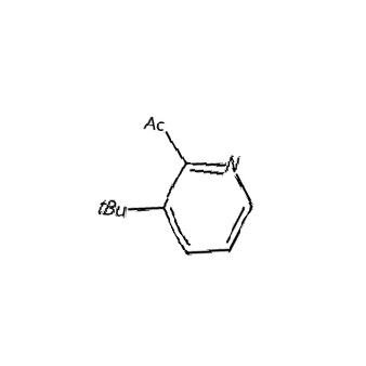 CC(=O)c1ncccc1C(C)(C)C